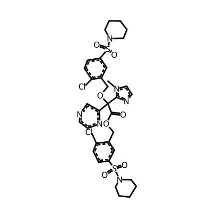 Cn1ccnc1C(OCc1cc(S(=O)(=O)N2CCCCC2)ccc1Cl)(C(=O)OCc1cc(S(=O)(=O)N2CCCCC2)ccc1Cl)c1cnccn1